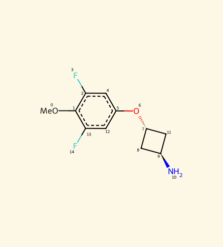 COc1c(F)cc(O[C@H]2C[C@H](N)C2)cc1F